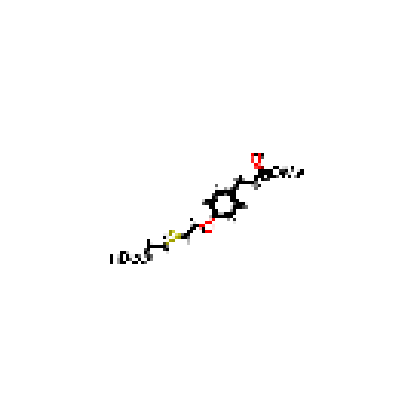 CCCCCCCCCCCCSCCOc1ccc(CCC(=O)OC)cc1